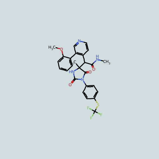 CNC(=O)C(c1ccncc1-c1ccccc1OC)C1(C)NC(=O)N(c2ccc(SC(F)(F)F)cc2)C1=O